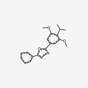 COc1cc(-c2nnc(-c3ccccc3)o2)cc(OC)c1C(C)C